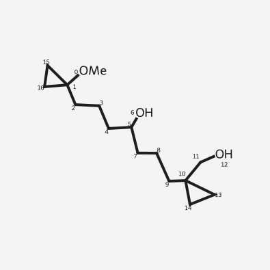 COC1(CCCC(O)CCCC2(CO)CC2)CC1